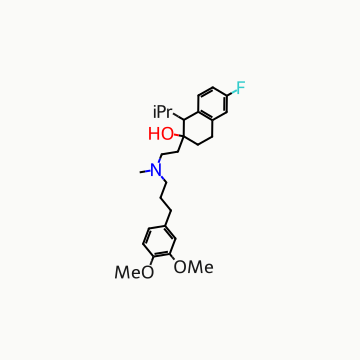 COc1ccc(CCCN(C)CCC2(O)CCc3cc(F)ccc3C2C(C)C)cc1OC